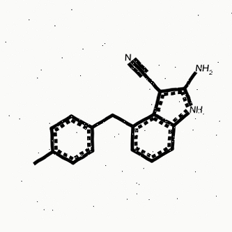 Cc1ccc(Cc2cccc3[nH]c(N)c(C#N)c23)cc1